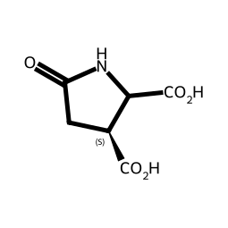 O=C1C[C@H](C(=O)O)C(C(=O)O)N1